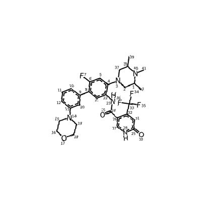 CC1CN(c2cc(F)c(-c3cccc(N4CCOCC4)c3)cc2NC(=O)c2c[nH]c(=O)cc2C(F)(F)F)CC(C)N1C